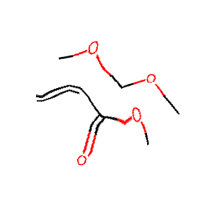 C=CC(=O)OC.COCOC